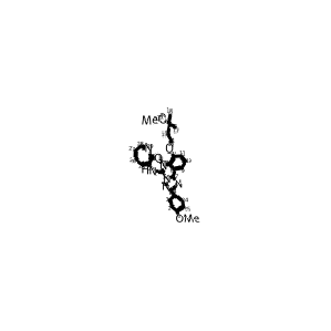 COc1ccc(-c2nc3c4cccc(OCCC(C)(C)OC)c4nc(Nc4ccccnc4=O)n3n2)cc1